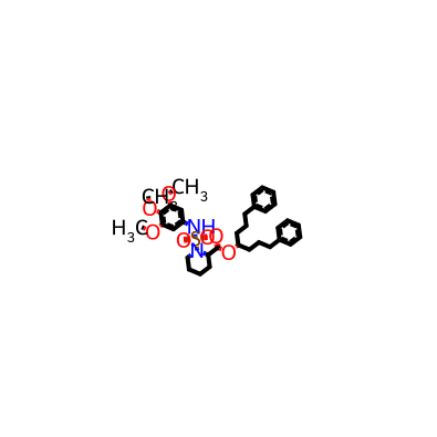 COc1cc(NS(=O)(=O)N2CCCCC2C(=O)OC(CCCc2ccccc2)CCCc2ccccc2)cc(OC)c1OC